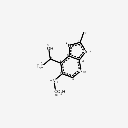 Cc1nc2c(C(O)C(F)(F)F)c(NC(=O)O)cnc2s1